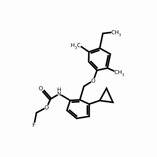 CCc1cc(C)c(OCc2c(NC(=O)OCF)cccc2C2CC2)cc1C